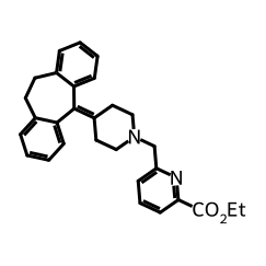 CCOC(=O)c1cccc(CN2CCC(=C3c4ccccc4CCc4ccccc43)CC2)n1